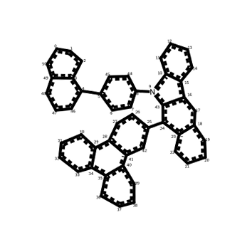 c1ccc2c(-c3ccc(-n4c5ccccc5c5cc6ccccc6c(-c6ccc7c8ccccc8c8ccccc8c7c6)c54)cc3)cccc2c1